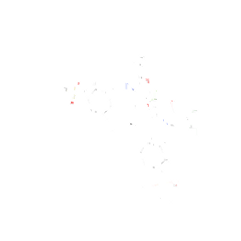 [CH2][C]([C@H](c1ccc(S(C)(=O)=O)cc1)[C@@H](CF)NC(=O)C(Cl)Cl)[C@H](c1ccc(S(C)(=O)=O)cc1)[C@@H](CF)NC(=O)C(Cl)Cl